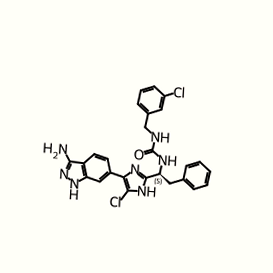 Nc1n[nH]c2cc(-c3nc([C@H](Cc4ccccc4)NC(=O)NCc4cccc(Cl)c4)[nH]c3Cl)ccc12